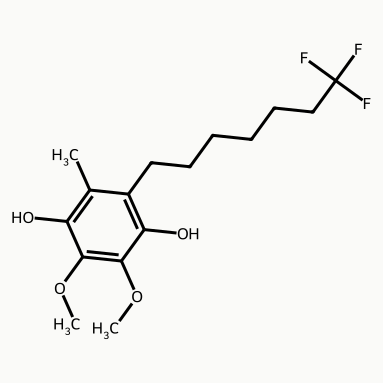 COc1c(O)c(C)c(CCCCCCC(F)(F)F)c(O)c1OC